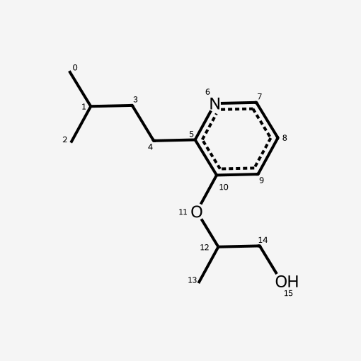 CC(C)CCc1ncccc1OC(C)CO